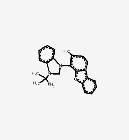 BC(C)(C)N1CN(c2c(C)ccc3c2oc2ccccc23)c2ccccc21